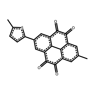 Cc1cc2c3c(c1)c(=O)c(=O)c1cc(-c4ccc(C)s4)cc(c1-3)c(=O)c2=O